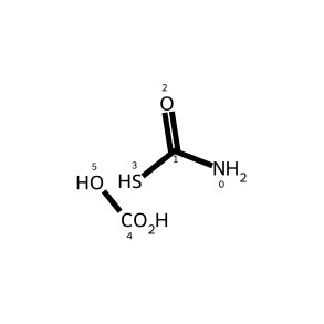 NC(=O)S.O=C(O)O